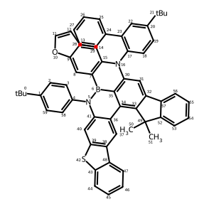 CC(C)(C)c1ccc(N2B3c4cc5occc5cc4N(c4ccc(C(C)(C)C)cc4-c4ccccc4)c4cc5c(c(c43)-c3cc4c(cc32)sc2ccccc24)C(C)(C)c2ccccc2-5)cc1